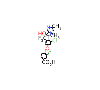 Cc1cnc(C(O)(C(C)c2ccc(OCc3ccc(C(=O)O)cc3Cl)cc2Cl)C(F)(F)F)cn1